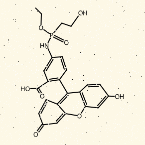 CCOP(=O)(CCO)Nc1ccc(-c2c3ccc(=O)cc-3oc3cc(O)ccc23)c(C(=O)O)c1